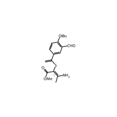 C=C(S/C(C(=O)OC)=C(/C)N)c1ccc(OCC(C)C)c(C=O)c1